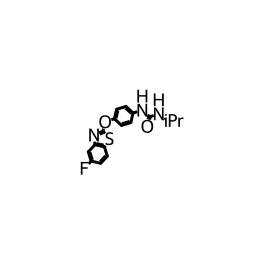 CC(C)NC(=O)Nc1ccc(Oc2nc3cc(F)ccc3s2)cc1